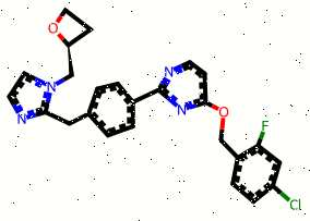 Fc1cc(Cl)ccc1COc1ccnc(-c2ccc(Cc3nccn3C[C@@H]3CCO3)cc2)n1